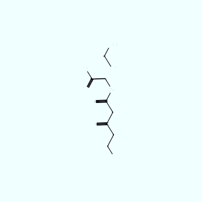 CCCC(=O)CC(=O)N[C@@H](CCO)C(=O)O